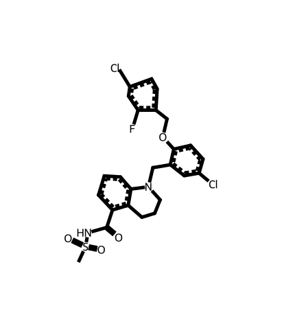 CS(=O)(=O)NC(=O)c1cccc2c1CCCN2Cc1cc(Cl)ccc1OCc1ccc(Cl)cc1F